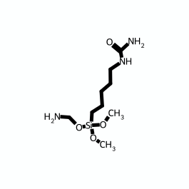 CO[Si](CCCCCNC(N)=O)(OC)OCN